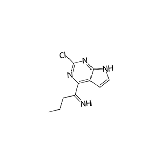 CCCC(=N)c1nc(Cl)nc2[nH]ccc12